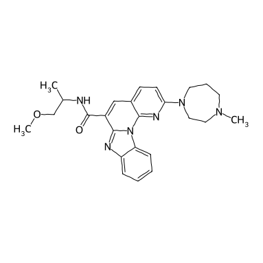 COCC(C)NC(=O)c1cc2ccc(N3CCCN(C)CC3)nc2n2c1nc1ccccc12